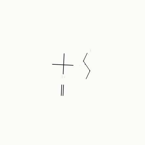 C=C.CC(C)(Br)C(=O)O.OCCO